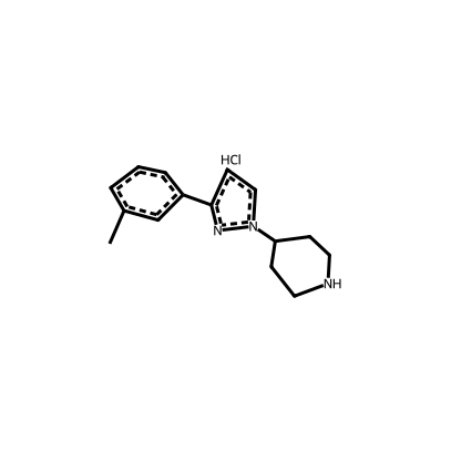 Cc1cccc(-c2ccn(C3CCNCC3)n2)c1.Cl